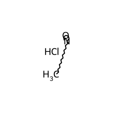 CCCCCCCCCCCCCCN1CCOCC1.Cl